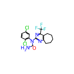 NC(=O)N(c1nc2c(c(C(F)(F)F)n1)CCCCC2)c1cc(Cl)ccc1Cl